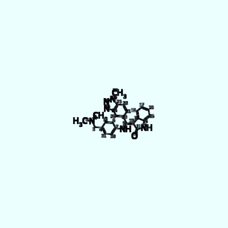 CN(C)Cc1ccc(N/C(=C2\C(=O)Nc3ccccc32)c2ccc3c(c2)nnn3C)cc1